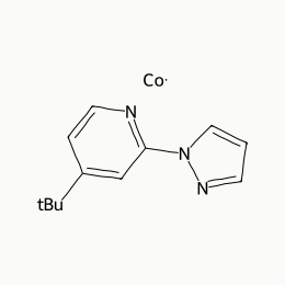 CC(C)(C)c1ccnc(-n2cccn2)c1.[Co]